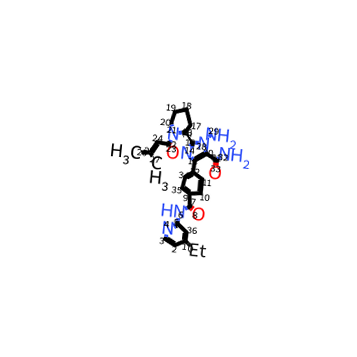 CCc1ccnc(NC(=O)c2ccc(-c3nc([C@@H]4CCCCN4C(=O)C=C(C)C)n(N)c3C(N)=O)cc2)c1